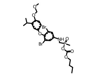 CCCCOC(=O)OP(C)(=O)CNc1cc(Br)c(Oc2ccc(OCOC)c(C(C)C)c2)c(Br)c1